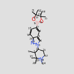 CC1C(n2cc3cc(B4OC(C)(C)C(C)(C)O4)ccc3n2)CCN(C)C1(C)C